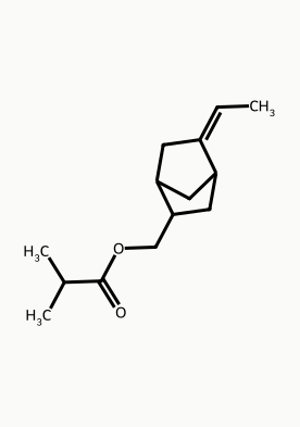 CC=C1CC2CC1CC2COC(=O)C(C)C